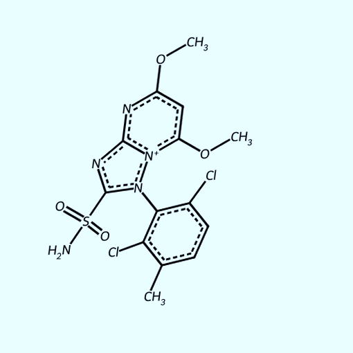 COc1cc(OC)[n+]2c(n1)nc(S(N)(=O)=O)n2-c1c(Cl)ccc(C)c1Cl